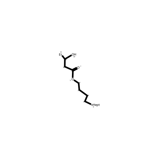 CCCCCCCCCCCOC(=O)CC(O)CC